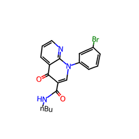 CCCCNC(=O)c1cn(-c2cccc(Br)c2)c2ncccc2c1=O